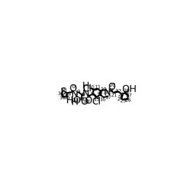 O=C(NCC(NC(=O)c1c(Cl)cc2c(c1Cl)CCN(C(=O)/C=C/c1ccccc1O)C2)C(=O)O)c1cccs1